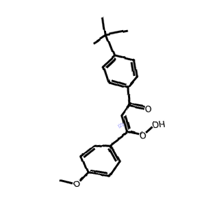 COc1ccc(/C(=C/C(=O)c2ccc(C(C)(C)C)cc2)OO)cc1